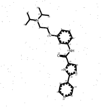 CC(C)N(CCOc1cccc(NC(=O)c2csc(-c3ccncc3)n2)c1)C(C)C